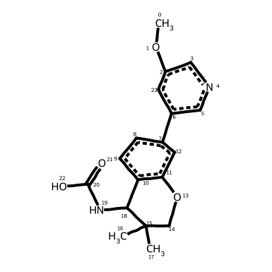 COc1cncc(-c2ccc3c(c2)OCC(C)(C)C3NC(=O)O)c1